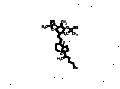 C=C1[C@H](O[Si](C)(C)C(C)(C)C)CC(=C/C=C2\CCC[C@]3(C)/C(=C(\C)CCCC(C)(C)C)CC[C@@H]23)C[C@H]1O[Si](C)(C)C(C)(C)C